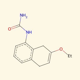 CCOC1=CCc2cccc(NC(N)=O)c2C1